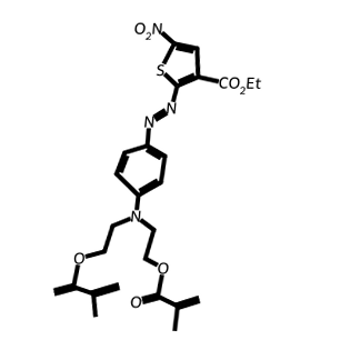 C=C(C)C(=C)OCCN(CCOC(=O)C(=C)C)c1ccc(/N=N/c2sc([N+](=O)[O-])cc2C(=O)OCC)cc1